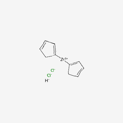 C1=CC[C]([Zr+3][C]2=CC=CC2)=C1.[Cl-].[Cl-].[H-]